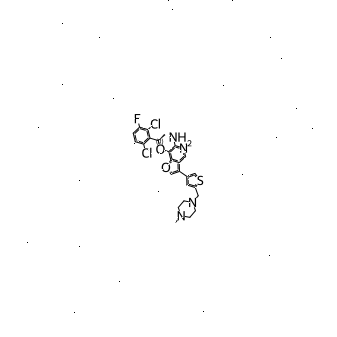 C[C@@H](Oc1c(N)ncc2c(-c3csc(CN4CCN(C)CC4)c3)coc12)c1c(Cl)ccc(F)c1Cl